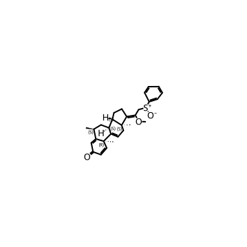 COC(C[S+]([O-])c1ccccc1)=C1CC[C@H]2[C@@H]3C[C@H](C)C4=CC(=O)C=C[C@]4(C)C3=CC[C@]12C